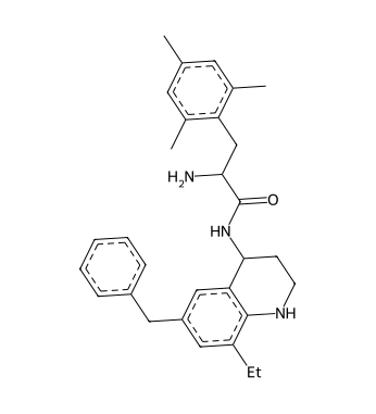 CCc1cc(Cc2ccccc2)cc2c1NCCC2NC(=O)C(N)Cc1c(C)cc(C)cc1C